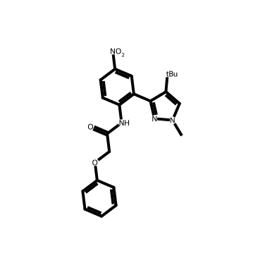 Cn1cc(C(C)(C)C)c(-c2cc([N+](=O)[O-])ccc2NC(=O)COc2ccccc2)n1